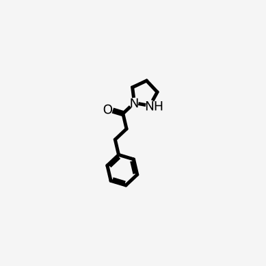 O=C(CCc1ccccc1)N1CCCN1